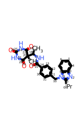 CC(C)c1nc2ccccc2n1Cc1ccc(C(=O)NC(C)C2(C)C(=O)NC(=O)NC2=O)cc1